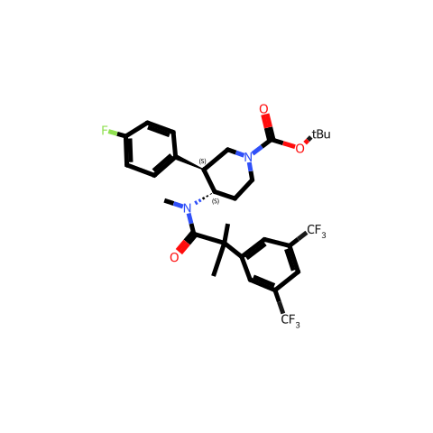 CN(C(=O)C(C)(C)c1cc(C(F)(F)F)cc(C(F)(F)F)c1)[C@H]1CCN(C(=O)OC(C)(C)C)C[C@@H]1c1ccc(F)cc1